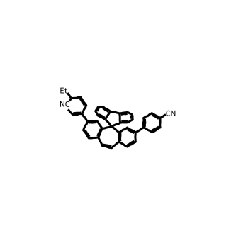 C/C=C(\C=C/C(C#N)CC)c1ccc2c(c1)C1(c3cc(-c4ccc(C#N)cc4)ccc3C=C2)c2ccccc2-c2ccccc21